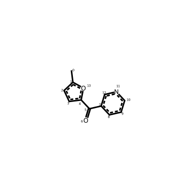 Cc1ccc(C(=O)c2cccnc2)o1